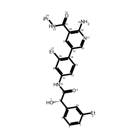 CCc1cccc([C@H](O)C(=O)Nc2ccc(-c3cnc(N)c(C(=O)NC(C)C)c3)c(CC)c2)c1